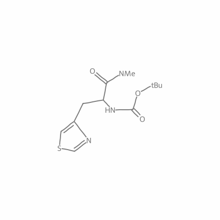 CNC(=O)C(Cc1cscn1)NC(=O)OC(C)(C)C